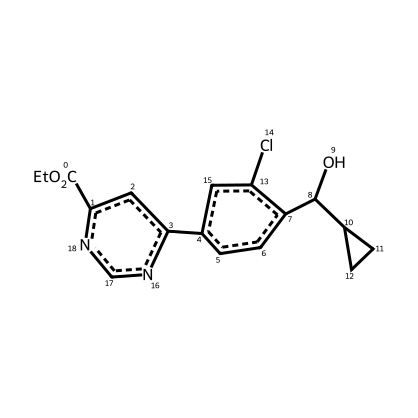 CCOC(=O)c1cc(-c2ccc(C(O)C3CC3)c(Cl)c2)ncn1